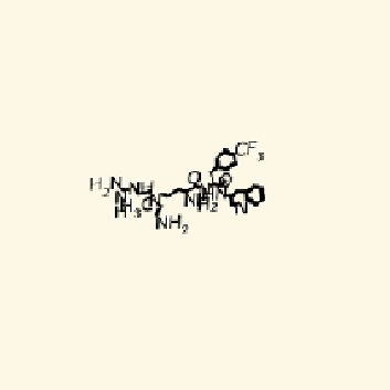 C[N+](CCN)(CCC[C@H](N)C(=O)N[C@@H](Cc1ccc(C(F)(F)F)cc1)C(=O)Nc1cnc2ccccc2c1)CCNC(=N)N